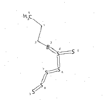 CCCB=S(=S)=S=S=S=S